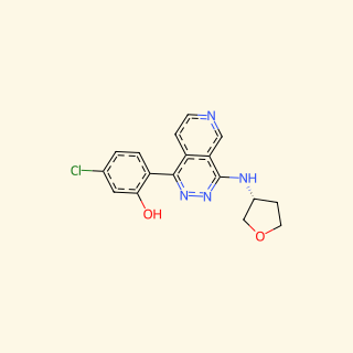 Oc1cc(Cl)ccc1-c1nnc(N[C@@H]2CCOC2)c2cnccc12